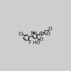 O=C1CC2(CO1)CN(c1nnc(-c3cc(Cl)ccc3F)cc1C(=O)O)C2